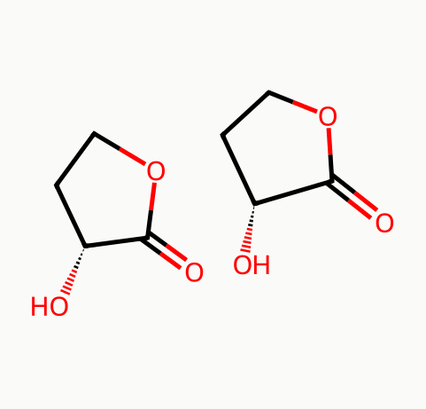 O=C1OCC[C@H]1O.O=C1OCC[C@H]1O